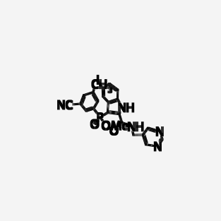 COP(=O)(c1cc(C)cc(C#N)c1)c1c(C(=O)NCc2cncnc2)[nH]c2ccc(I)cc12